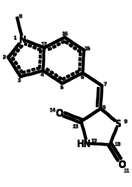 Cn1ccc2cc(C=C3SC(=O)NC3=O)ccc21